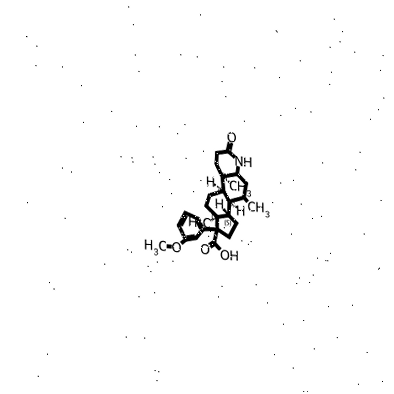 COc1cccc(C2(C(=O)O)CC[C@H]3[C@@H]4C(C)CC5NC(=O)CC[C@]5(C)[C@@H]4CC[C@@]32C)c1